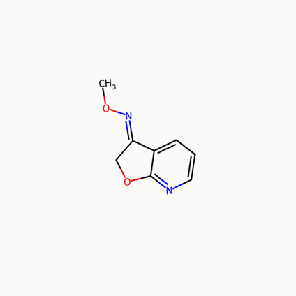 CO/N=C1\COc2ncccc21